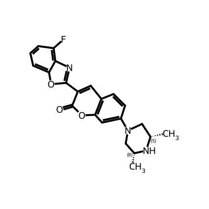 C[C@@H]1CN(c2ccc3cc(-c4nc5c(F)cccc5o4)c(=O)oc3c2)C[C@H](C)N1